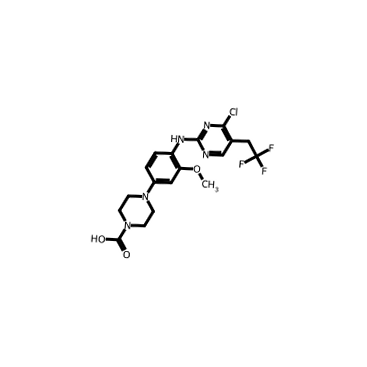 COc1cc(N2CCN(C(=O)O)CC2)ccc1Nc1ncc(CC(F)(F)F)c(Cl)n1